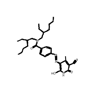 CCCCC(CC)CN(CC(CC)CCCC)C(=O)c1ccc(/N=N/c2c(O)[nH]c(=O)c(C#N)c2C)cc1